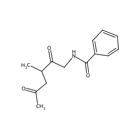 CC(=O)CC(C)C(=O)CNC(=O)c1ccccc1